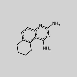 Nc1nc(N)c2c3c(ccc2n1)CCCC3